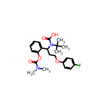 CN(C)C(=O)Oc1ccccc1C(CCOc1ccc(F)cc1)N(C(=O)O)C(C)(C)C